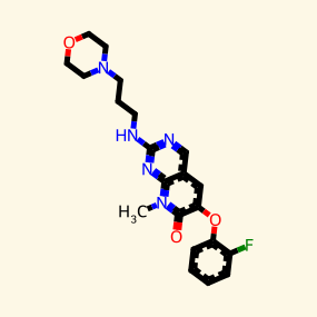 Cn1c(=O)c(Oc2ccccc2F)cc2cnc(NCCCN3CCOCC3)nc21